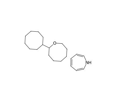 C1=CC=CNC=C1.C1CCCC(C2CCCCCCO2)CCC1